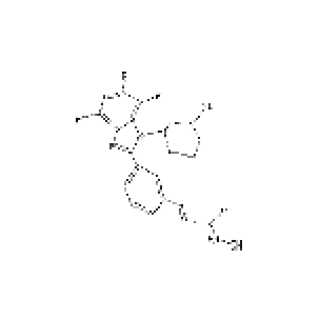 CCN1CCCC(n2c(-c3cccc(/C=C/C(=O)NO)c3)nc3c(F)cc(F)c(F)c32)C1